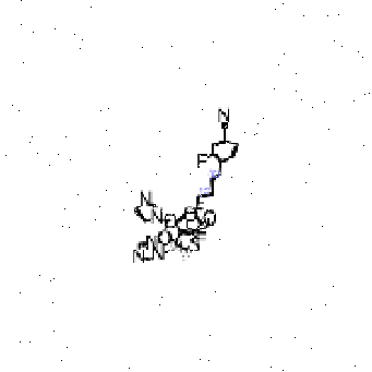 C[C@@H](S[C@H]1CO[C@H](/C=C/C=C/c2ccc(C#N)cc2F)OC1)[C@@](Cn1cncn1)(OC(=O)n1ccnc1)c1ccc(F)cc1F